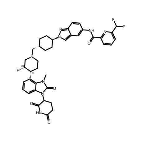 Cn1c(=O)n(C2CCC(=O)NC2=O)c2cccc([C@H]3CCN(C[C@H]4CC[C@H](n5cc6cc(NC(=O)c7cccc(C(F)F)n7)ccc6n5)CC4)C[C@H]3F)c21